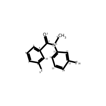 CN(C(=O)c1cccc(I)c1)c1cccc(F)c1